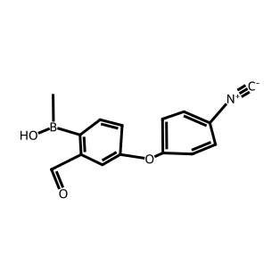 [C-]#[N+]c1ccc(Oc2ccc(B(C)O)c(C=O)c2)cc1